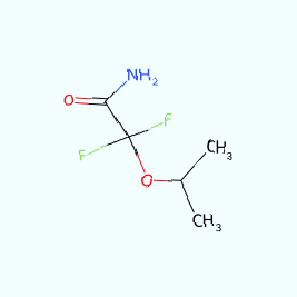 CC(C)OC(F)(F)C(N)=O